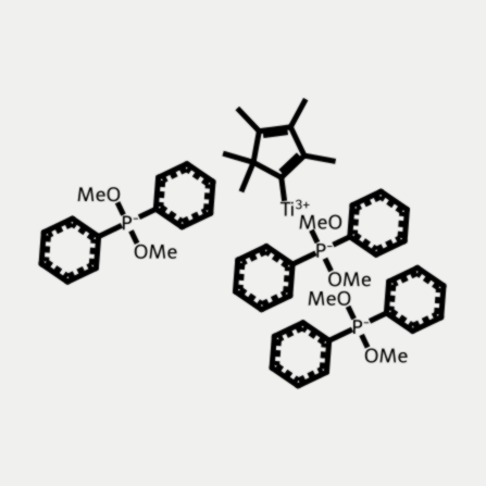 CC1=C(C)C(C)(C)[C]([Ti+3])=C1C.CO[P-](OC)(c1ccccc1)c1ccccc1.CO[P-](OC)(c1ccccc1)c1ccccc1.CO[P-](OC)(c1ccccc1)c1ccccc1